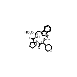 CC(=O)S[C@H](C(=O)NC1(C(=O)N[C@@H](Cc2c[nH]c3ccccc23)C(=O)O)CCCC1)C1CCOCC1